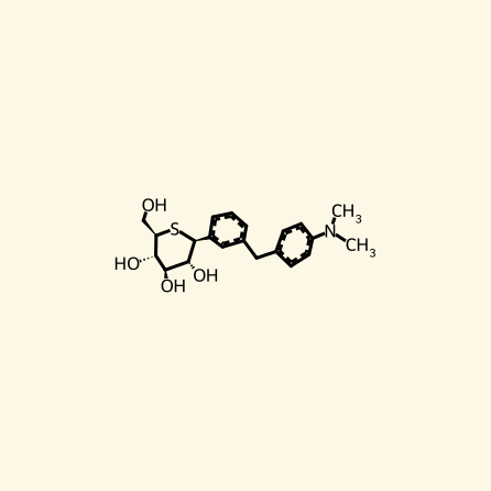 CN(C)c1ccc(Cc2cccc([C@@H]3S[C@H](CO)[C@@H](O)[C@H](O)[C@H]3O)c2)cc1